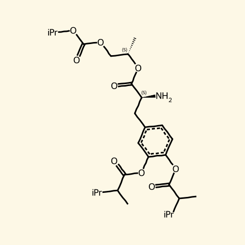 CC(C)OC(=O)OC[C@H](C)OC(=O)[C@@H](N)Cc1ccc(OC(=O)C(C)C(C)C)c(OC(=O)C(C)C(C)C)c1